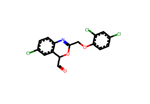 O=CC1OC(COc2ccc(Cl)cc2Cl)=Nc2ccc(Cl)cc21